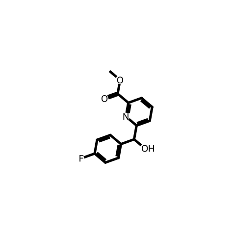 COC(=O)c1cccc(C(O)c2ccc(F)cc2)n1